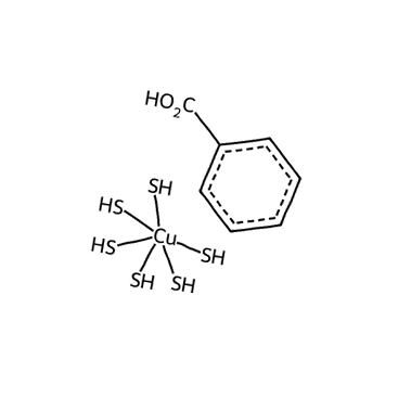 O=C(O)c1ccccc1.[SH][Cu]([SH])([SH])([SH])([SH])[SH]